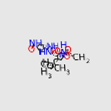 C=CCS(=O)(=O)Nn1ccc(C)c(CC(=O)NC(=N)c2ccc(C(N)=O)cc2)c1=O.Cc1ccc(C)cc1